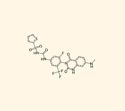 CNc1ccc2c(=O)n(-c3c(F)cc(NC(=O)NS(=O)(=O)c4cccs4)cc3C(F)(F)F)c(=O)[nH]c2c1